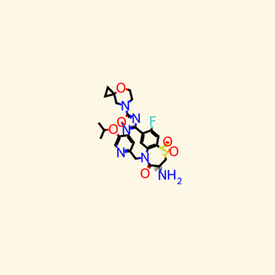 CC(C)Oc1ccc(CN2C(=O)[C@@H](N)CS(=O)(=O)c3cc(F)c(-c4noc(N5CCOC6(CC6)C5)n4)cc32)nc1